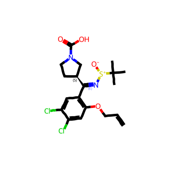 C=CCOc1cc(Cl)c(Cl)cc1/C(=N/[S+]([O-])C(C)(C)C)[C@H]1CCN(C(=O)O)C1